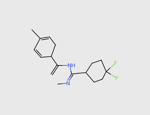 C=C(N/C(=N\C)C1CCC(F)(F)CC1)C1C=CC(C)=CC1